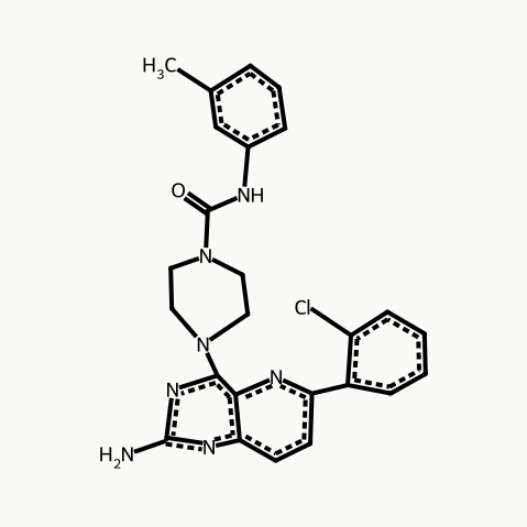 Cc1cccc(NC(=O)N2CCN(c3nc(N)nc4ccc(-c5ccccc5Cl)nc34)CC2)c1